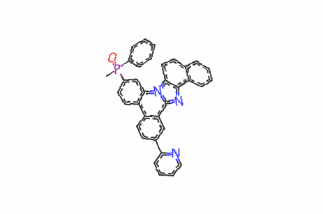 CP(=O)(c1ccccc1)c1ccc2c3ccc(-c4ccccn4)cc3c3nc4c5ccccc5ccc4n3c2c1